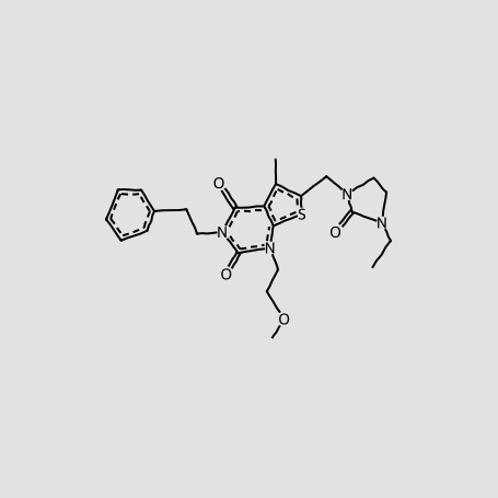 CCN1CCN(Cc2sc3c(c2C)c(=O)n(CCc2ccccc2)c(=O)n3CCOC)C1=O